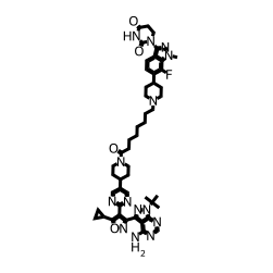 Cn1nc(N2CCC(=O)NC2=O)c2ccc(C3CCN(CCCCCCCC(=O)N4CCC(c5cnc(-c6c(-c7nn(C(C)(C)C)c8ncnc(N)c78)noc6C6CC6)nc5)CC4)CC3)c(F)c21